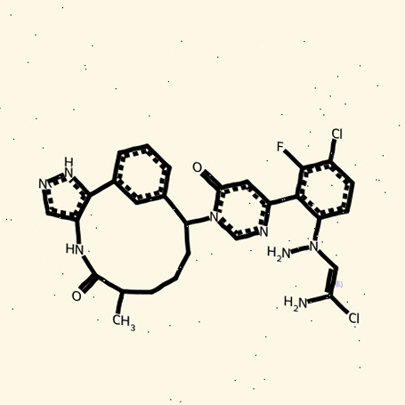 CC1CCCC(n2cnc(-c3c(N(N)/C=C(\N)Cl)ccc(Cl)c3F)cc2=O)c2cccc(c2)-c2[nH]ncc2NC1=O